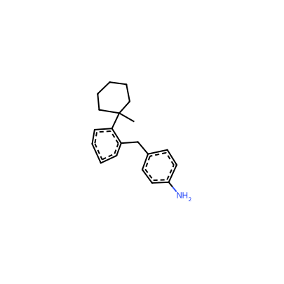 CC1(c2ccccc2Cc2ccc(N)cc2)CCCCC1